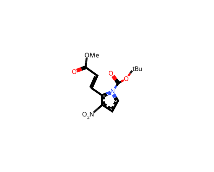 COC(=O)/C=C/c1c([N+](=O)[O-])ccn1C(=O)OC(C)(C)C